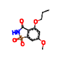 CCCOc1cc(OC)cc2c1C(=O)NS2(=O)=O